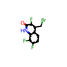 O=c1[nH]c2c(F)c(F)ccc2c(CBr)c1F